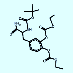 CCOC(=O)Oc1ccc(CC(NC(=O)OC(C)(C)C)C(N)=O)cc1OC(=O)OCC